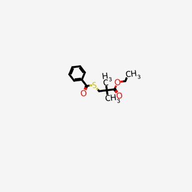 CCOC(=O)C(C)(C)CSC(=O)c1ccccc1